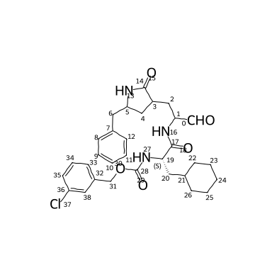 O=CC(CC1CC(Cc2ccccc2)NC1=O)NC(=O)[C@H](CC1CCCCC1)NC(=O)OCc1cccc(Cl)c1